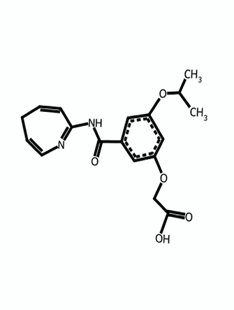 CC(C)Oc1cc(OCC(=O)O)cc(C(=O)NC2=NC=CCC=C2)c1